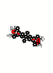 CC1(C)CCCC2c3cc(-c4ccc5c6c(-c7ccccc7)c7c8ccc(-c9ccc%10c(c9)C9CCCC(C)(C)C9(C)N%10c9ccccc9)c9c(-c%10ccc%11c(c%10)C%10CCCC(C)(C)C%10(C)N%11c%10ccccc%10)ccc(c7c(-c7ccccc7)c6c6ccc(-c7ccc%10c(c7)C7CCCC(C)(C)C7(C)N%10c7ccccc7)c4c56)c98)ccc3N(c3ccccc3)C21C